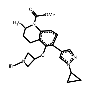 COC(=O)N1c2ccc(-c3cnn(C4CC4)c3)c(OC3CN(C(C)C)C3)c2CCC1C